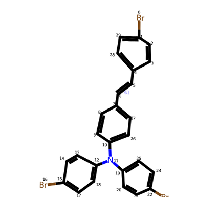 Brc1ccc(/C=C/c2ccc(N(c3ccc(Br)cc3)c3ccc(Br)cc3)cc2)cc1